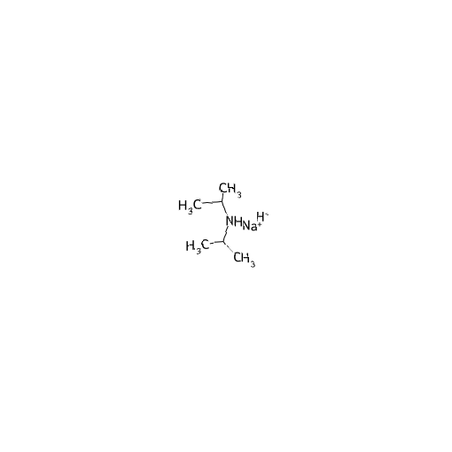 CC(C)NC(C)C.[H-].[Na+]